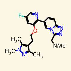 CNCc1nnc2ccc(-c3ncc(F)cc3OCCc3c(C)nn(C)c3C)cn12